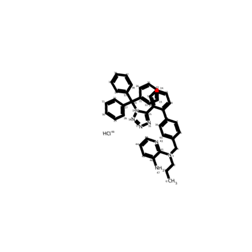 CCCN(Cc1ccc(-c2ccccc2-c2nnnn2C(c2ccccc2)(c2ccccc2)c2ccccc2)cc1)c1ncccc1N.Cl